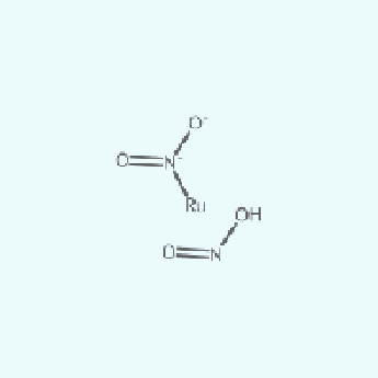 O=NO.O=[N+]([O-])[Ru]